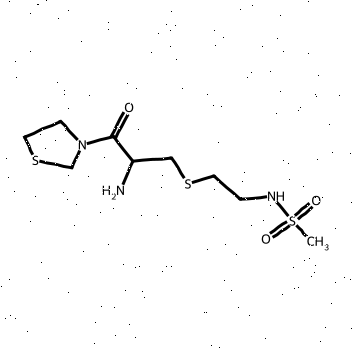 CS(=O)(=O)NCCSCC(N)C(=O)N1CCSC1